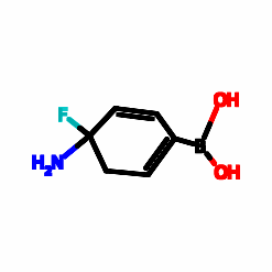 NC1(F)C=CC(B(O)O)=CC1